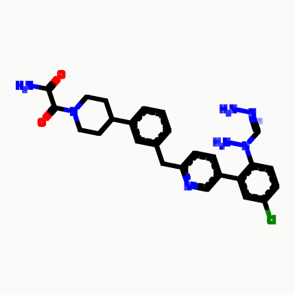 N/N=C\N(N)c1ccc(Cl)cc1-c1ccc(Cc2cccc(C3CCN(C(=O)C(N)=O)CC3)c2)nc1